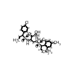 C=CC(c1ccc(Cl)cc1)S(=O)(=O)NC(CNS(=O)(=O)C(C=C)c1c(C)cc(C)cc1C)C(=O)NO